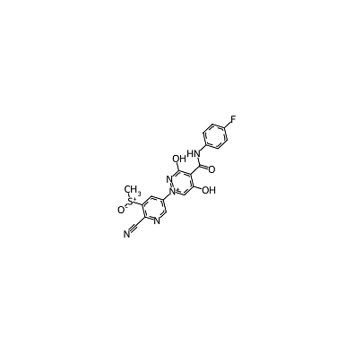 C[S+]([O-])c1cc(-[n+]2cc(O)c(C(=O)Nc3ccc(F)cc3)c(O)n2)cnc1C#N